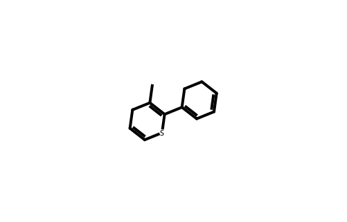 CC1=C(C2=CC=CCC2)SC=CC1